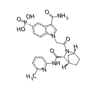 Cc1cccc(NC(=O)[C@@H]2[C@H]3CC[C@H](C3)N2C(=O)Cn2cc(C(N)=O)c3cc(P(=O)(O)O)ccc32)n1